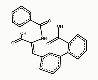 O=C(O)C(=Cc1cccc(-c2ccccc2C(=O)O)c1)NC(=O)c1ccccc1